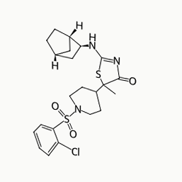 CC1(C2CCN(S(=O)(=O)c3ccccc3Cl)CC2)SC(N[C@H]2C[C@@H]3CC[C@H]2C3)=NC1=O